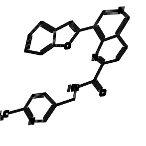 O=C(NCc1ccc(C(F)(F)F)nc1)c1ccc2cncc(-c3cc4ccccc4o3)c2n1